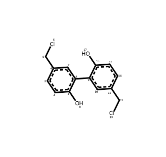 Oc1ccc(CCl)cc1-c1cc(CCl)ccc1O